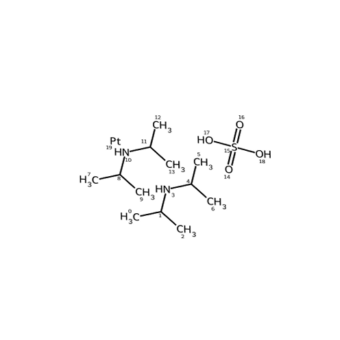 CC(C)NC(C)C.CC(C)NC(C)C.O=S(=O)(O)O.[Pt]